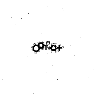 CC(C)(C)c1ccc(NC(=O)c2ccc3c(c2)CCCCC3)cc1